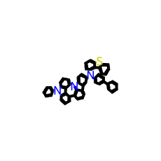 c1ccc(-c2ccc(N(c3ccc4c(c3)c3cccc5c6cccc7c6c6c(cccc6n4c53)n7-c3ccccc3)c3cccc4sc5ccccc5c34)cc2)cc1